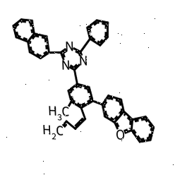 C=C/C=C\c1c(C)cc(-c2nc(-c3ccccc3)nc(-c3ccc4ccccc4c3)n2)cc1-c1ccc2c(c1)oc1ccccc12